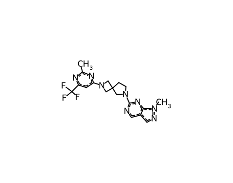 Cc1nc(N2CC3(CCN(c4ncc5cnn(C)c5n4)C3)C2)cc(C(F)(F)F)n1